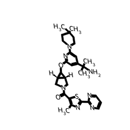 Cc1nc(-c2ncccn2)sc1C(=O)N1C[C@@H]2C(Oc3cc(C(C)(C)N)cc(N4CCC(C)(C)CC4)n3)[C@@H]2C1